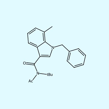 CC(=O)N(C(=O)c1cn(Cc2ccccc2)c2c(C)cccc12)C(C)(C)C